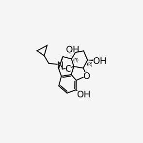 Oc1ccc2c3c1OC1[C@H](O)CC[C@]4(O)C(C2)N(CC2CC2)CCC314